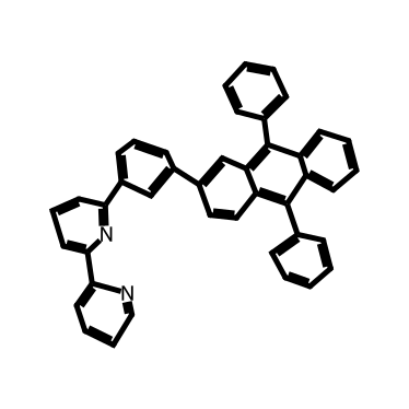 c1ccc(-c2c3ccccc3c(-c3ccccc3)c3cc(-c4cccc(-c5cccc(-c6ccccn6)n5)c4)ccc23)cc1